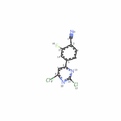 N#Cc1ccc(-c2cc(Cl)nc(Cl)n2)cc1F